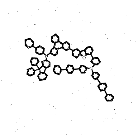 c1ccc(-c2ccc(-c3ccc(N(c4ccc(-c5ccc(-c6ccccc6)cc5)cc4)c4cccc(-c5cccc6c5oc5ccc(-c7ccc8c9ccccc9c9cc(N(c%10ccc(-c%11ccccc%11)cc%10)c%10ccc%11c(c%10)C(c%10ccccc%10)(c%10ccccc%10)c%10ccccc%10-%11)ccc9c8c7)cc56)c4)cc3)cc2)cc1